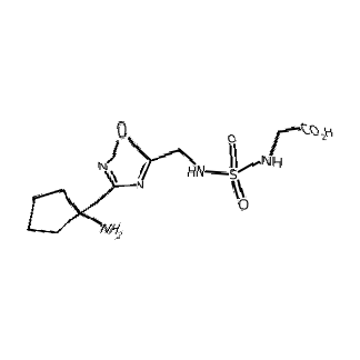 NC1(c2noc(CNS(=O)(=O)NCC(=O)O)n2)CCCC1